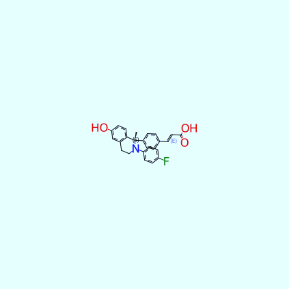 C[C@]1(c2ccc(/C=C/C(=O)O)cc2)c2ccc(O)cc2CCN1c1ccc(F)cc1